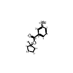 CCC(C)c1cccc(C(=O)OC2(C)CCCC2)c1